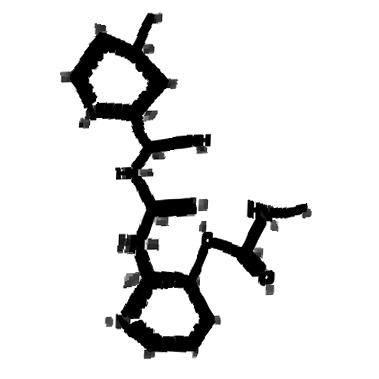 CNC(=O)Oc1cccnc1NC(=S)NC(=N)c1cc(C)ccn1